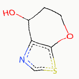 OC1CCOc2scnc21